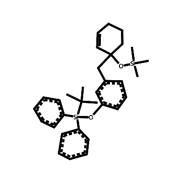 CC(C)(C)[Si](Oc1cccc(CC2(O[Si](C)(C)C)C=CCCC2)c1)(c1ccccc1)c1ccccc1